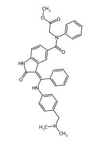 COC(=O)CN(C(=O)c1ccc2c(c1)/C(=C(/Nc1ccc(CN(C)C)cc1)c1ccccc1)C(=O)N2)c1ccccc1